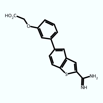 N=C(N)c1cc2cc(-c3cccc(OCC(=O)O)c3)ccc2s1